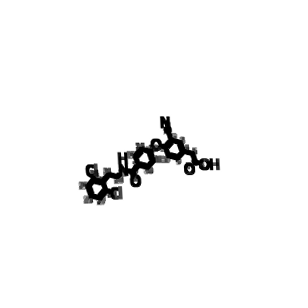 N#Cc1cc(CC(=O)O)ccc1Oc1ccc(C(=O)NCCc2c(Cl)cccc2Cl)cc1